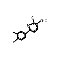 Cc1cc(-c2ccc(C=O)c(Cl)n2)ccc1F